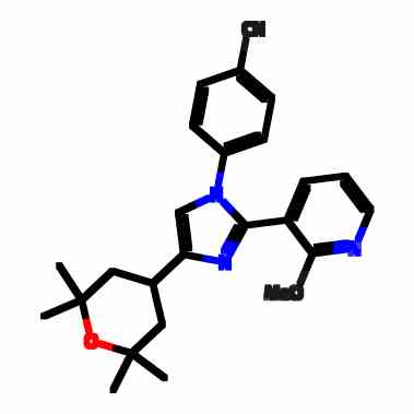 COc1ncccc1-c1nc(C2CC(C)(C)OC(C)(C)C2)cn1-c1ccc(C#N)cc1